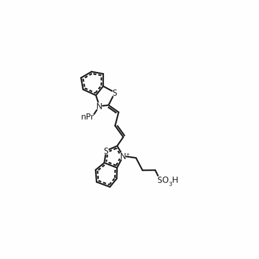 CCCN1/C(=C\C=C\c2sc3ccccc3[n+]2CCCS(=O)(=O)O)Sc2ccccc21